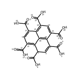 O=C(O)C1=CC(C(=O)O)c2c(C(=O)O)cc(C(=O)O)c3c(C(=O)O)cc(C(=O)O)c1c23